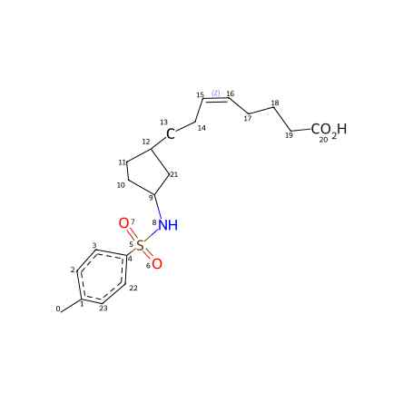 Cc1ccc(S(=O)(=O)NC2CCC(CC/C=C\CCCC(=O)O)C2)cc1